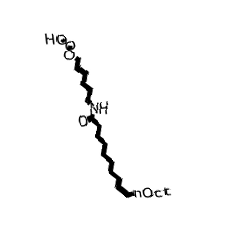 CCCCCCCC/C=C\CCCCCCCC(=O)NCCCCCCOOO